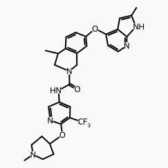 Cc1cc2c(Oc3ccc4c(c3)CN(C(=O)Nc3cnc(OC5CCN(C)CC5)c(C(F)(F)F)c3)CC4C)ccnc2[nH]1